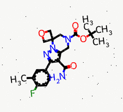 Cc1cc(-c2nn3c(c2C(N)=O)CN(C(=O)OC(C)(C)C)CC32COC2)ccc1F